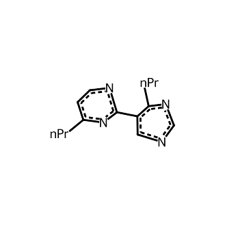 CCCc1ccnc(-c2cncnc2CCC)n1